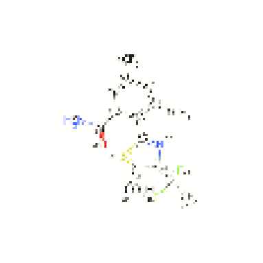 NC(=O)c1cc(C(F)(F)F)cc(C(F)(F)F)c1-c1nc(C(F)(F)C(F)(F)F)c(C(=O)O)s1